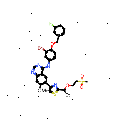 CCC(OCCS(C)(=O)=O)c1nc(-c2cc3c(Nc4ccc(OCc5cccc(F)c5)c(Br)c4)ncnc3cc2OC)cs1